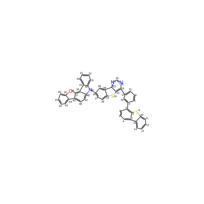 c1cc(-c2cccc3c2sc2ccccc23)cc(-c2ncnc3c2sc2ccc(-n4c5ccccc5c5c6oc7ccccc7c6ccc54)cc23)c1